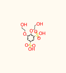 O=S(=O)(O)c1cc(OCCO)c(OCCO)c(S(=O)(=O)O)c1